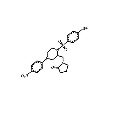 CC(C)(C)c1ccc(S(=O)(=O)N2CCN(c3ccc([N+](=O)[O-])cc3)CC2CN2CCCC2=O)cc1